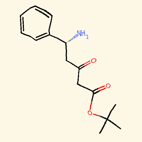 CC(C)(C)OC(=O)CC(=O)C[C@@H](N)c1ccccc1